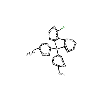 Cc1ccc([Si]2(c3ccc(C)cc3)c3ccccc3-c3c(Br)cccc32)cc1